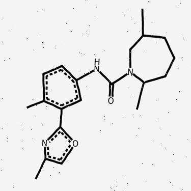 Cc1coc(-c2cc(NC(=O)N3CC(C)CCCC3C)ccc2C)n1